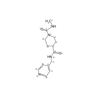 CNC(=O)N1CCC(C(=O)NCc2ccncc2)CC1